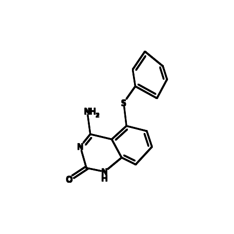 Nc1nc(=O)[nH]c2cccc(Sc3ccccc3)c12